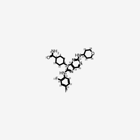 NC(=O)C1CCC(n2c(Nc3ccc(F)cc3F)nc3cnc(NC4CCOCC4)nc32)CC1